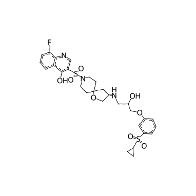 O=S(=O)(c1cccc(OCC(O)CN[C@H]2COC3(CCN(S(=O)(=O)c4cnc5c(F)cccc5c4O)CC3)C2)c1)C1CC1